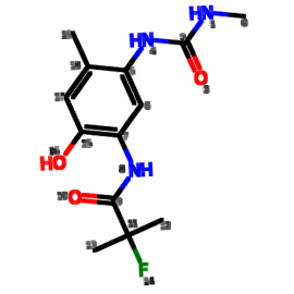 CNC(=O)Nc1cc(NC(=O)C(C)(C)F)c(O)cc1C